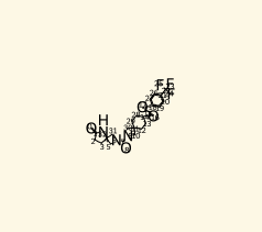 O=C1CCC2(CN(C(=O)N3CC4(CCC(S(=O)(=O)c5ccc(C(F)(F)F)cc5)CC4)C3)C2)N1